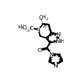 C[C@@H]1Cc2n[nH]c(C(=O)n3ccnc3)c2CN1C(=O)O